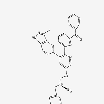 Cc1n[nH]c2ccc(-c3cc(OC[C@@H](N)Cc4ccccc4)cnc3-c3cccc(C(=O)c4ccccc4)c3)cc12